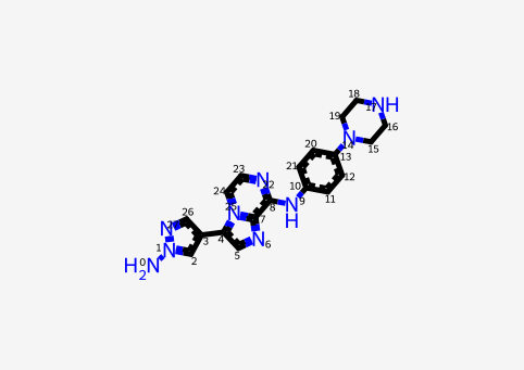 Nn1cc(-c2cnc3c(Nc4ccc(N5CCNCC5)cc4)nccn23)cn1